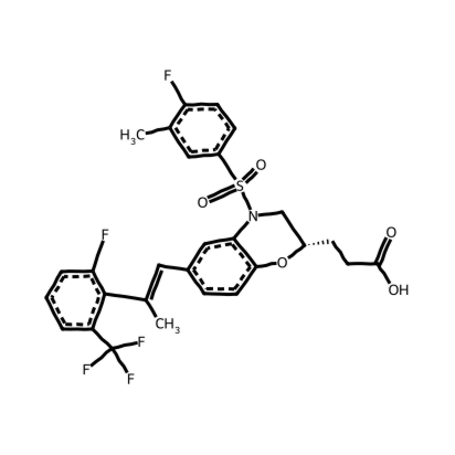 C/C(=C\c1ccc2c(c1)N(S(=O)(=O)c1ccc(F)c(C)c1)C[C@H](CCC(=O)O)O2)c1c(F)cccc1C(F)(F)F